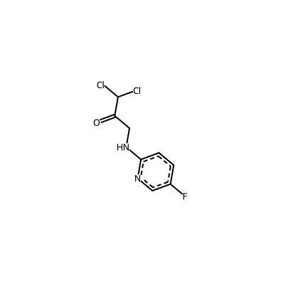 O=C(CNc1ccc(F)cn1)C(Cl)Cl